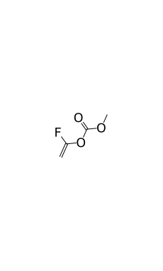 C=C(F)OC(=O)OC